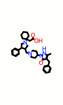 Cc1[nH]n(C2CCN(CC3CN(C4(CC(=O)O)CCCCC4)CC3c3ccccc3)CC2)c(=O)c1Cc1ccccc1